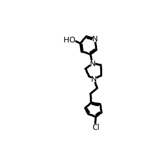 Oc1cncc(N2CCN(CCc3ccc(Cl)cc3)CC2)c1